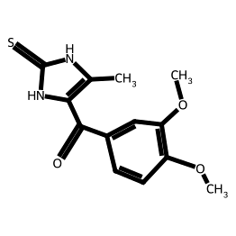 COc1ccc(C(=O)c2[nH]c(=S)[nH]c2C)cc1OC